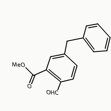 COC(=O)c1cc(Cc2ccccc2)ccc1C=O